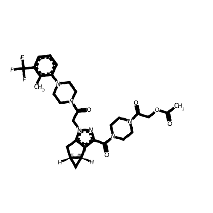 CC(=O)OCC(=O)N1CCN(C(=O)c2nn(CC(=O)N3CCN(c4cccc(C(F)(F)F)c4C)CC3)c3c2[C@@H]2C[C@@H]2C3)CC1